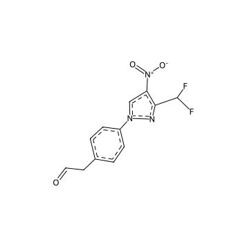 O=CCc1ccc(-n2cc([N+](=O)[O-])c(C(F)F)n2)cc1